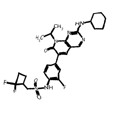 CC(C)n1c(=O)c(-c2ccc(NS(=O)(=O)CC3CCC3(F)F)c(F)c2)cc2cnc(NC3CCCCC3)nc21